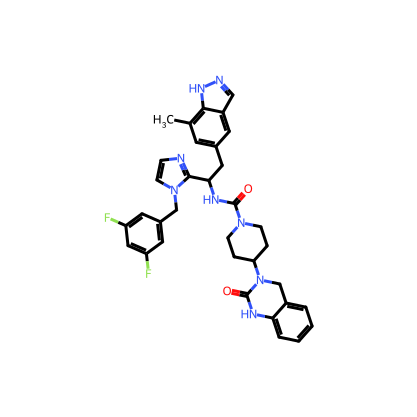 Cc1cc(CC(NC(=O)N2CCC(N3Cc4ccccc4NC3=O)CC2)c2nccn2Cc2cc(F)cc(F)c2)cc2cn[nH]c12